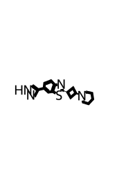 c1cc2nc([C@H]3C[C@H](N4CCCCC4)C3)sc2cc1-c1cn[nH]c1